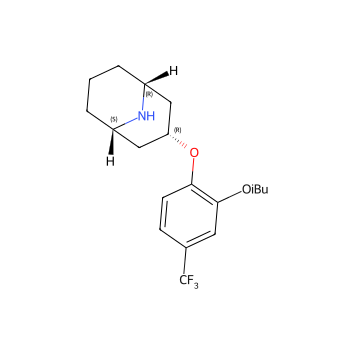 CC(C)COc1cc(C(F)(F)F)ccc1O[C@H]1C[C@H]2CCC[C@@H](C1)N2